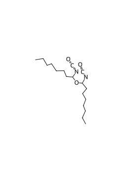 CCCCCCCC(N=C=O)OC(CCCCCCC)N=C=O